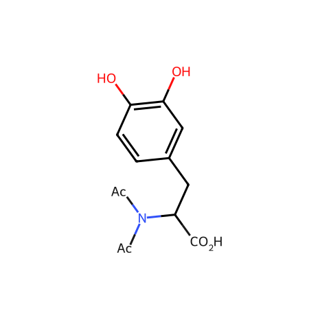 CC(=O)N(C(C)=O)C(Cc1ccc(O)c(O)c1)C(=O)O